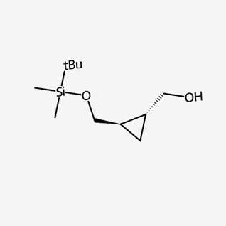 CC(C)(C)[Si](C)(C)OC[C@@H]1C[C@H]1CO